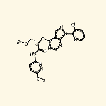 Cc1ccc(NC(=O)[C@H](COC(C)C)Oc2ncnc3c2cnn3-c2ncccc2Cl)nn1